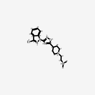 CCc1nn(-c2noc(C3CCN(CCN(C)C)CC3)n2)c2ccccc12